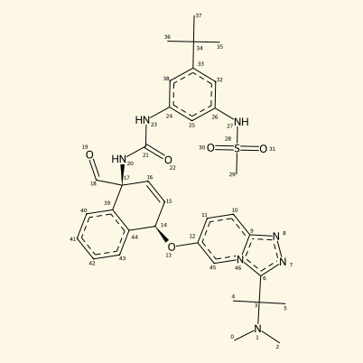 CN(C)C(C)(C)c1nnc2ccc(O[C@@H]3C=C[C@](C=O)(NC(=O)Nc4cc(NS(C)(=O)=O)cc(C(C)(C)C)c4)c4ccccc43)cn12